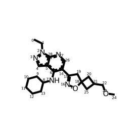 CCn1ncc2c(NC3CCCCC3)c(C3=NOC4(C3)CC(COC)C4)cnc21